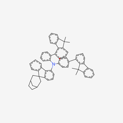 CC1(C)c2ccccc2-c2c(-c3ccccc3N(c3ccc(-c4cccc5c4C(C)(C)c4ccccc4-5)cc3)c3cccc4c3-c3ccccc3C43CC4CCC(C4)C3)cccc21